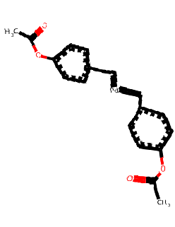 CC(=O)Oc1ccc([CH]=[Pd-4]=[CH]c2ccc(OC(C)=O)cc2)cc1